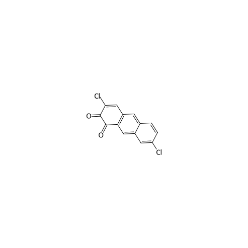 O=C1C(=O)c2cc3cc(Cl)ccc3cc2C=C1Cl